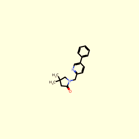 CC1(C)CC(=O)N(Cc2ccc(-c3ccccc3)cn2)C1